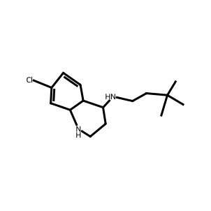 CC(C)(C)CCNC1CCNC2C=C(Cl)C=CC21